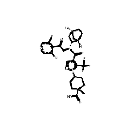 CC1(C(=O)O)CCC(n2ncc(C(=O)N(CC(=O)c3c(Cl)cncc3Cl)[C@@H]3C[C@H]4CC[C@H]3C4)c2C(F)(F)F)CC1